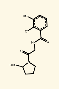 O=C[C@@H]1CCCN1C(=O)CNC(=O)c1cccc(O)c1Cl